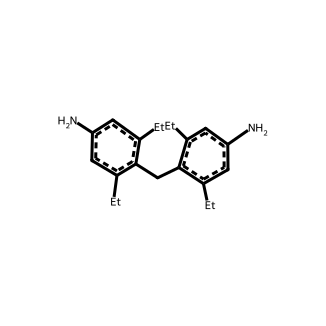 CCc1cc(N)cc(CC)c1Cc1c(CC)cc(N)cc1CC